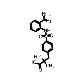 CC(C)(Cc1ccc(S(=O)(=O)Nc2ccccc2C(N)=O)cc1)C(=O)O